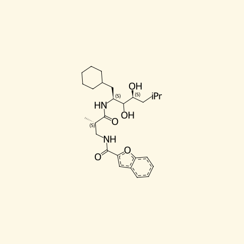 CC(C)C[C@H](O)C(O)[C@H](CC1CCCCC1)NC(=O)[C@@H](C)CNC(=O)c1cc2ccccc2o1